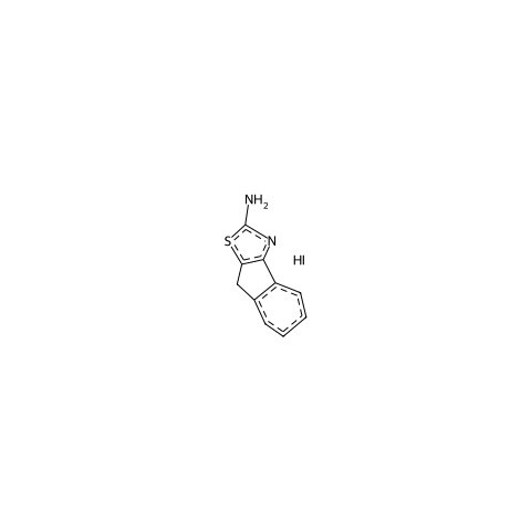 I.Nc1nc2c(s1)Cc1ccccc1-2